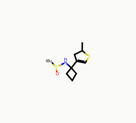 CC1CC(C2(N[S+]([O-])C(C)(C)C)CCC2)=CS1